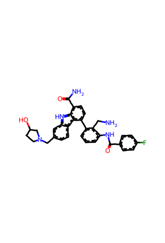 NCc1c(NC(=O)c2ccc(F)cc2)cccc1-c1ccc(C(N)=O)c2[nH]c3cc(CN4CCC(O)C4)ccc3c12